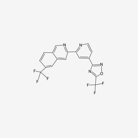 FC(F)(F)c1ccc2cnc(-c3cc(-c4noc(C(F)(F)F)n4)ccn3)cc2c1